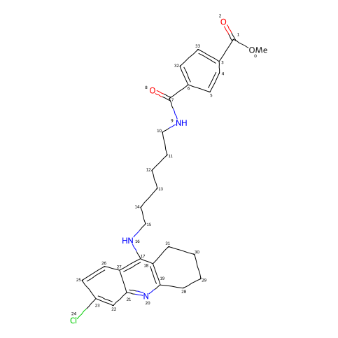 COC(=O)c1ccc(C(=O)NCCCCCCNc2c3c(nc4cc(Cl)ccc24)CCCC3)cc1